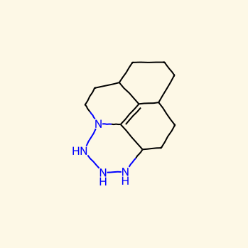 C1CC2CCC3NNNN4CCC(C1)C2=C34